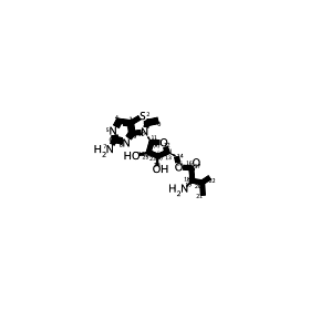 C=C1Sc2cnc(N)nc2N1[C@@H]1O[C@H](COC(=O)[C@@H](N)C(C)C)[C@@H](O)[C@H]1O